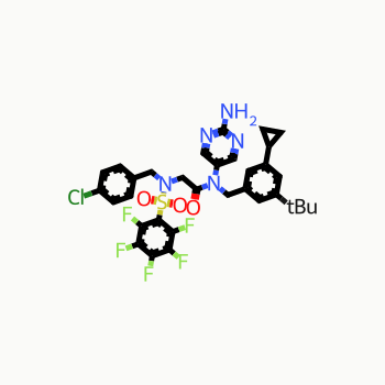 CC(C)(C)c1cc(CN(C(=O)CN(Cc2ccc(Cl)cc2)S(=O)(=O)c2c(F)c(F)c(F)c(F)c2F)c2cnc(N)nc2)cc(C2CC2)c1